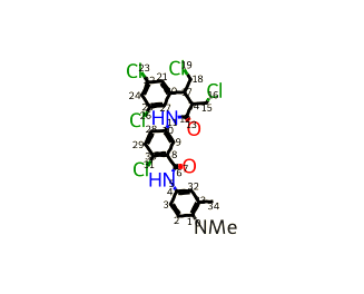 CNc1ccc(NC(=O)c2cc(NC(=O)C(CCl)C(CCl)c3cc(Cl)cc(Cl)c3)ccc2Cl)cc1C